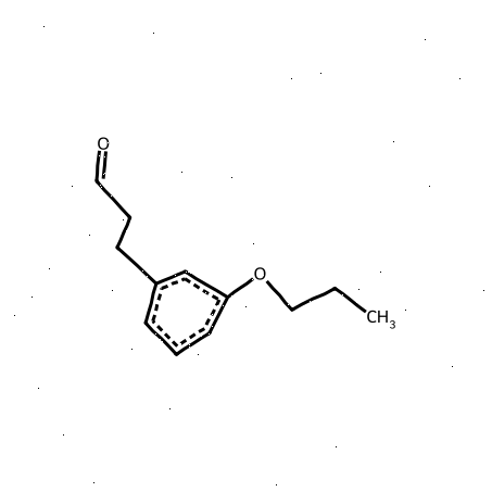 CCCOc1cccc(CCC=O)c1